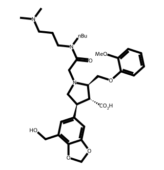 CCCCN(CCCN(C)C)C(=O)CN1C[C@H](c2cc(CO)c3c(c2)OCO3)[C@@H](C(=O)O)[C@@H]1COc1ccccc1OC